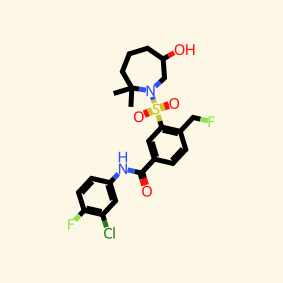 CC1(C)CCCC(O)CN1S(=O)(=O)c1cc(C(=O)Nc2ccc(F)c(Cl)c2)ccc1CF